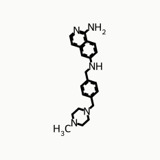 CN1CCN(Cc2ccc(CNc3ccc4c(N)nccc4c3)cc2)CC1